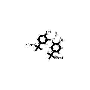 CCCCCC(C)(C)c1ccc(O)c(Sc2cc(C(C)(C)CCCCC)ccc2O)c1.[Ni]